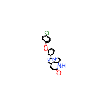 O=C1C=CC2=CN=C(c3cccc(Oc4ccc(Cl)cc4)c3)N3CCC(=C23)N1